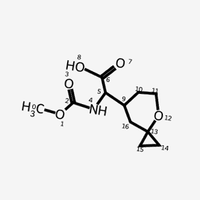 COC(=O)NC(C(=O)O)C1CCOC2(CC2)C1